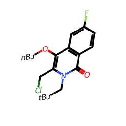 CCCCOc1c(CCl)n(CC(C)(C)C)c(=O)c2ccc(F)cc12